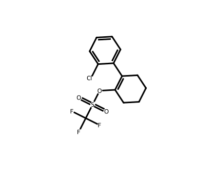 O=S(=O)(OC1=C(c2ccccc2Cl)CCCC1)C(F)(F)F